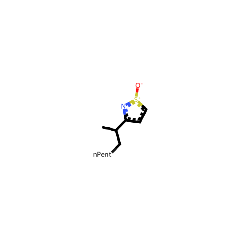 CCCCCCC(C)c1cc[s+]([O-])n1